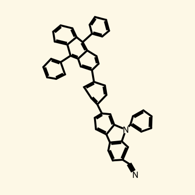 N#Cc1ccc2c3ccc(-c4ccc(-c5ccc6c(-c7ccccc7)c7ccccc7c(-c7ccccc7)c6c5)cc4)cc3n(-c3ccccc3)c2c1